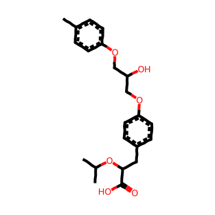 Cc1ccc(OCC(O)COc2ccc(CC(OC(C)C)C(=O)O)cc2)cc1